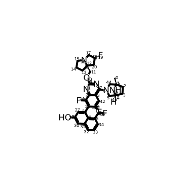 C[C@]12CC[C@H](CN(c3nc(OC[C@@]45CCCN4C[C@H](F)C5)nc4c(F)c(-c5cc(O)cc6cccc(C(F)F)c56)c(F)cc34)C1)N2